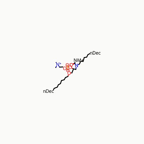 CCCCCCCCCCCCCCCCCCOCC(CN(CCCCCCCCCCCCCCCC)C(=O)NC)OP(=O)([O-])OCC[N+](C)(C)C